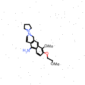 COCCOc1ccc2c(N)c3c(cc2c1OC)CN(N1CCCC1)C=C3